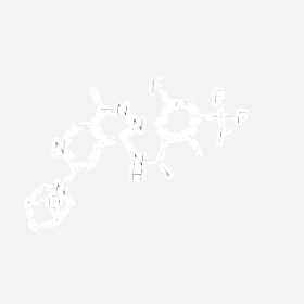 Cc1c([C@@H](C)Nc2nnc(C)c3cnc(N4CC5CC(C4)O5)cc23)cc(F)cc1C(F)(F)F